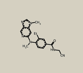 CCc1cc(C(=O)NCC#N)ccc1N(C)c1cc2c(cn1)ncn2C